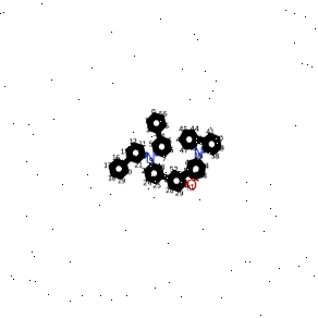 c1ccc(-c2cccc(N(c3cccc(-c4ccccc4)c3)c3cccc(-c4ccc5oc6ccc(-n7c8ccccc8c8ccccc87)cc6c5c4)c3)c2)cc1